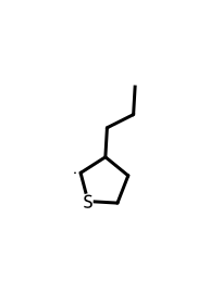 CCCC1[CH]SCC1